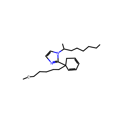 CCCCCCCC1(c2nccn2C(C)CCCCCC)C=CC=CC1